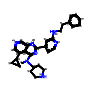 CN(c1nc(-c2ccnc(NCCc3ccccc3)c2)nc2cncc(C3CC3)c12)C1CCNCC1